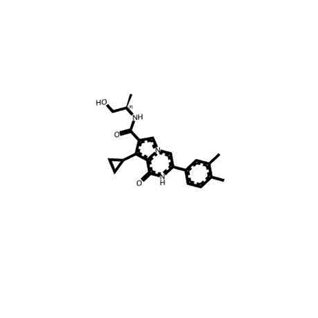 Cc1ccc(-c2cn3cc(C(=O)N[C@H](C)CO)c(C4CC4)c3c(=O)[nH]2)cc1C